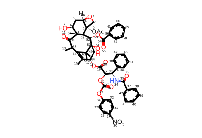 CC(=O)O[C@@]12CO[C@@H]1C[C@H](O)[C@@]1(C)C(=O)C(C)C3=C(C)[C@@H](OC(=O)[C@H](OC(=O)Oc4ccc([N+](=O)[O-])cc4)[C@@H](NC(=O)c4ccccc4)c4ccccc4)C[C@@](O)([C@@H](OC(=O)c4ccccc4)C12)C3(C)C